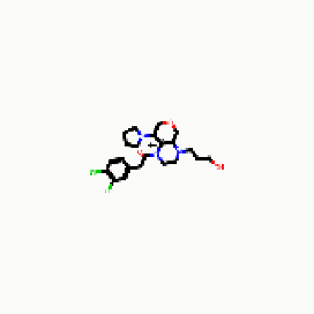 O=C(Cc1ccc(Cl)c(Cl)c1)N1CCN(CCCO)C2COCC(N3CCCC3)[C@H]21